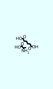 CC(N)C(=O)O.O=C(O)CCCCC(=O)O